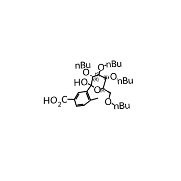 CCCCOC[C@H]1OC(O)(c2cc(C(=O)O)ccc2C)[C@H](OCCCC)[C@@H](OCCCC)[C@@H]1OCCCC